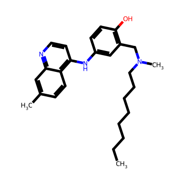 CCCCCCCCN(C)Cc1cc(Nc2ccnc3cc(C)ccc23)ccc1O